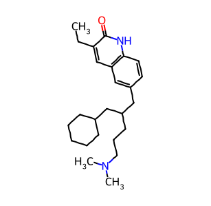 CCc1cc2cc(CC(CCCN(C)C)CC3CCCCC3)ccc2[nH]c1=O